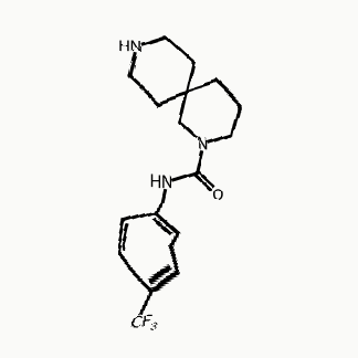 O=C(Nc1ccc(C(F)(F)F)cc1)N1CCCC2(CCNCC2)C1